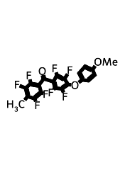 COc1ccc(Oc2c(F)c(F)c(C(=O)c3c(F)c(F)c(C)c(F)c3F)c(F)c2F)cc1